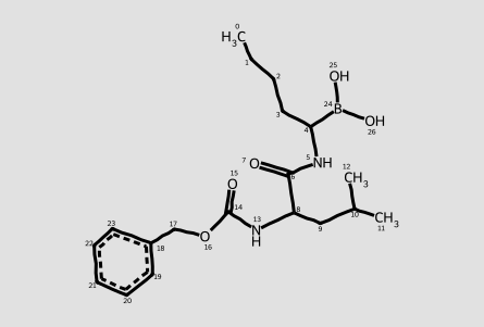 CCCCC(NC(=O)C(CC(C)C)NC(=O)OCc1ccccc1)B(O)O